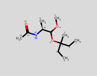 CCC(C)(CC)OC(OC)[C@H](C)NC(C)=O